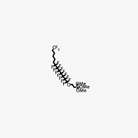 CO[Si](CCOC(F)(F)C(F)(F)C(F)(F)C(F)(F)C(F)(F)C(F)(F)C(F)(F)CCCCCC(F)(F)F)(OC)OC